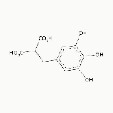 O=C(O)C(Cc1cc(O)c(O)c(O)c1)C(=O)O